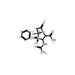 CC(=O)NC1C(C(=O)O)N2C(=O)C[C@H]2S1(=O)=O.c1ccccc1